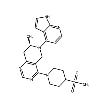 C[C@@H]1Cc2ncnc(N3CCC(S(C)(=O)=O)CC3)c2CN1c1ccnc2[nH]ccc12